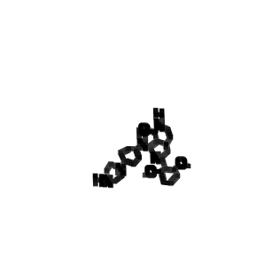 COc1cccc(OC)c1-c1cc2cc[nH]c(=O)c2c(Nc2ccc(N3CCNCC3)cc2)n1